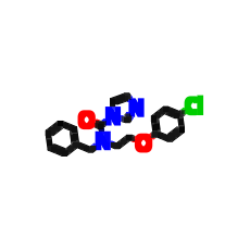 O=C(N(CCOc1ccc(Cl)cc1)Cc1ccccc1)n1ccnc1